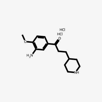 COc1ccc(C(=O)CCC2CCNCC2)cc1N.Cl.Cl